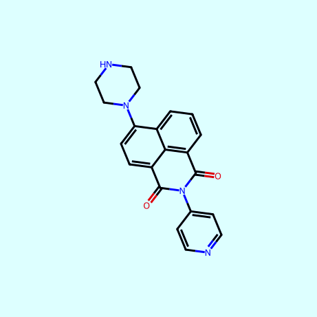 O=C1c2cccc3c(N4CCNCC4)ccc(c23)C(=O)N1c1ccncc1